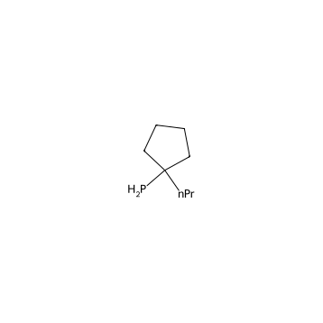 CCCC1(P)CCCC1